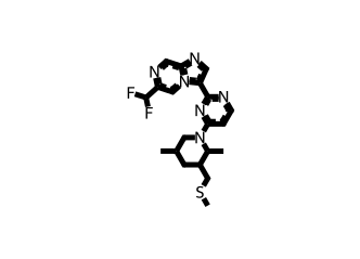 CSCC1CC(C)CN(c2ccnc(-c3cnc4cnc(C(F)F)cn34)n2)C1C